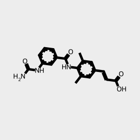 Cc1cc(C=CC(=O)O)cc(C)c1NC(=O)c1cccc(NC(N)=O)c1